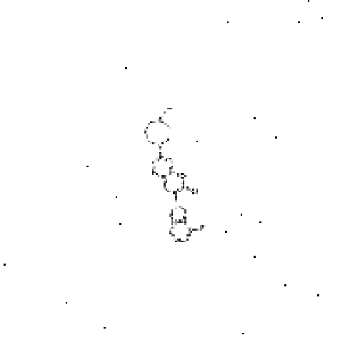 CCN1CCCN(c2ccc3cc(-c4cn5cccc(F)c5n4)c(=O)oc3n2)CC1